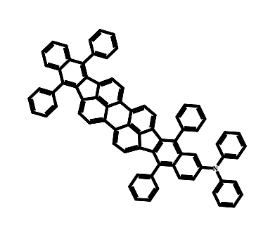 c1ccc(-c2c3c(c(-c4ccccc4)c4ccccc24)-c2ccc4c5ccc6c7c(ccc(c8ccc-3c2c84)c75)-c2c-6c(-c3ccccc3)c3cc(N(c4ccccc4)c4ccccc4)ccc3c2-c2ccccc2)cc1